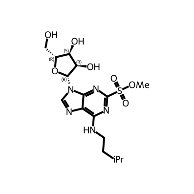 COS(=O)(=O)c1nc(NCCC(C)C)c2ncn([C@@H]3O[C@H](CO)[C@@H](O)[C@H]3O)c2n1